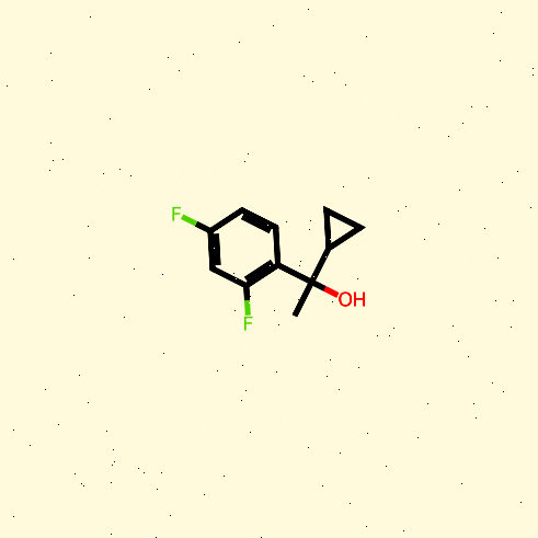 CC(O)(c1ccc(F)cc1F)C1CC1